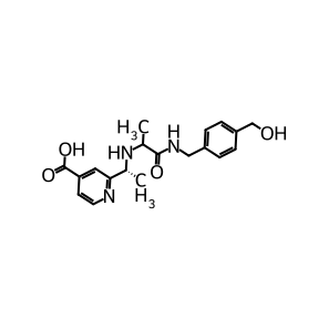 CC(N[C@H](C)c1cc(C(=O)O)ccn1)C(=O)NCc1ccc(CO)cc1